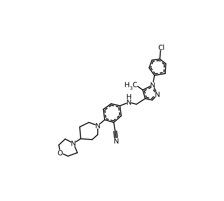 Cc1c(CNc2ccc(N3CCC(N4CCOCC4)CC3)c(C#N)c2)cnn1-c1ccc(Cl)cc1